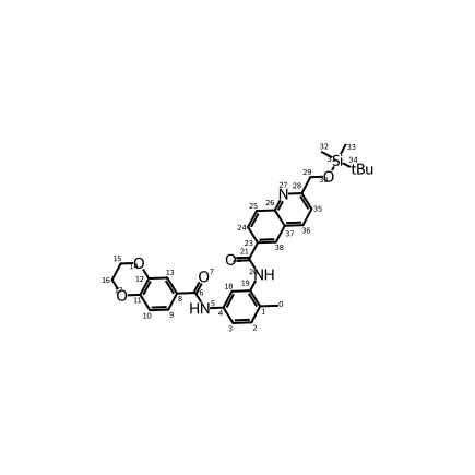 Cc1ccc(NC(=O)c2ccc3c(c2)OCCO3)cc1NC(=O)c1ccc2nc(CO[Si](C)(C)C(C)(C)C)ccc2c1